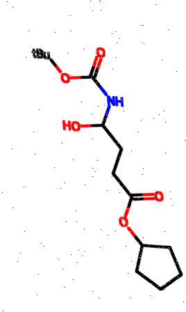 CC(C)(C)OC(=O)NC(O)CCC(=O)OC1CCCC1